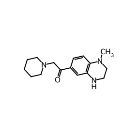 CN1CCNc2cc(C(=O)CN3CCCCC3)ccc21